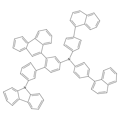 c1cc(-c2ccc(N(c3ccc(-c4cccc5ccccc45)cc3)c3ccc(-c4cccc5ccccc45)cc3)cc2-c2cc3ccccc3c3ccccc23)cc(-n2c3ccccc3c3ccccc32)c1